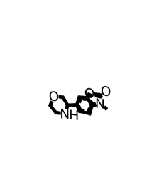 Cn1c(=O)oc2cc(C3COCCN3)ccc21